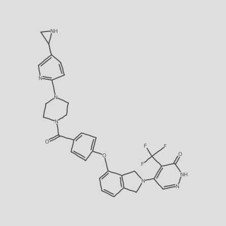 O=C(c1ccc(Oc2cccc3c2CN(c2cn[nH]c(=O)c2C(F)(F)F)C3)cc1)N1CCN(c2ccc(C3CN3)cn2)CC1